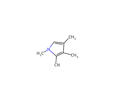 Cc1cn(C)c(C#N)c1C